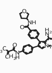 C=C(C)C(=O)Nc1ccc(-c2cn3ncnc(N)c3c2-c2ccc(C(=O)NC3CCOC3)cc2)cc1